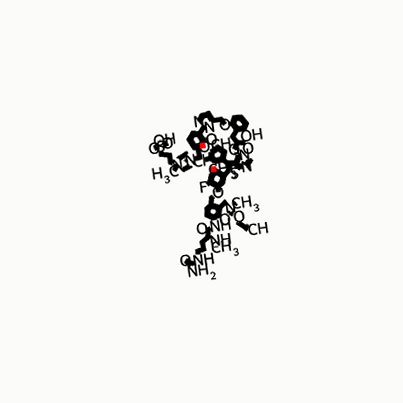 C#CCOC(=O)N(C)Cc1cc(NC(=O)C(CCCNC(N)=O)NC)ccc1COc1cc(-c2sc3ncnc(OC(Cc4ccccc4OCc4ccnc(-c5ccccc5OC)n4)C(=O)O)c3c2-c2ccc(OCCN3CC[N+](C)(CCCS(=O)(=O)O)CC3)c(Cl)c2C)ccc1F